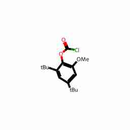 COc1cc(C(C)(C)C)cc(C(C)(C)C)c1OC(=O)Cl